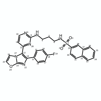 O=S(=O)(NCCCNc1nccc(-c2c(-c3ccc(F)cc3)nc3occn23)n1)c1ccc2ccccc2c1